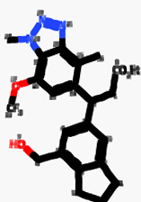 CCOC(=O)CC(c1cc(CO)c2c(c1)CCC2)c1cc(OC(F)(F)F)c2c(nnn2C)c1C